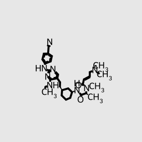 CCNc1nc(Nc2ccc(C#N)cc2)ncc1CC[C@@H]1CCC[C@H](NC(=O)[C@H](C)N(C)C(=O)/C=C/CN(C)C)C1